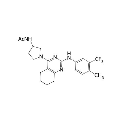 CC(=O)NC1CCN(c2nc(Nc3ccc(C)c(C(F)(F)F)c3)nc3c2CCCC3)C1